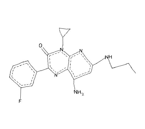 CCCNc1cc(N)c2nc(-c3cccc(F)c3)c(=O)n(C3CC3)c2n1